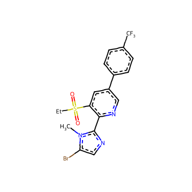 CCS(=O)(=O)c1cc(-c2ccc(C(F)(F)F)cc2)cnc1-c1ncc(Br)n1C